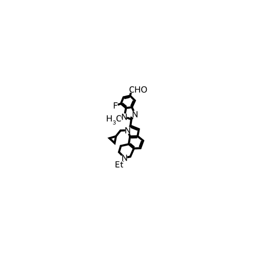 CCN1CCc2c(ccc3cc(-c4nc5cc(C=O)cc(F)c5n4C)n(CC4CC4)c23)C1